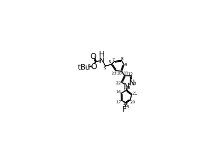 CC(C)(C)OC(=O)NCc1cccc(-c2cnn(-c3ccc(F)cc3)c2)c1